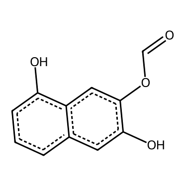 O=COc1cc2c(O)cccc2cc1O